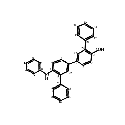 Oc1ccc(-c2ccc(Nc3ccccc3)c(-c3ccccc3)c2)cc1-c1ccccc1